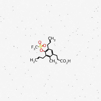 C=CCc1cc(CCC(=O)O)c(C)c(CC=C)c1OS(=O)(=O)C(F)(F)F